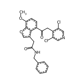 COc1ccc(C(=O)Cc2c(Cl)cncc2Cl)c2c(CC(=O)NCc3ccccc3)coc12